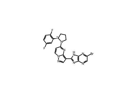 Fc1ccc(F)c([C@H]2CCCN2c2ccn3ncc(-c4nc5ncc(Br)nc5[nH]4)c3n2)c1